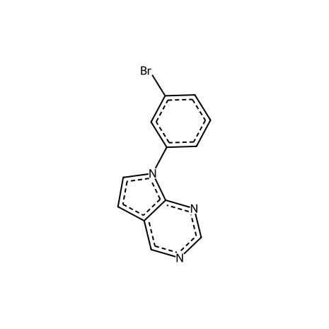 Brc1cccc(-n2ccc3cncnc32)c1